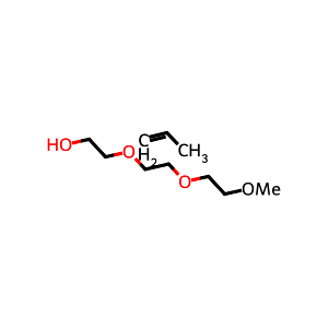 C=CC.COCCOCCOCCO